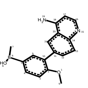 COc1ccc(B(C)O)cc1-c1ccc2nccc(N)c2c1